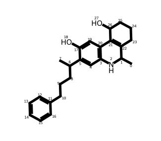 CC1Nc2cc(C(C)CCCc3ccccc3)c(O)cc2C2=C1CCCC2O